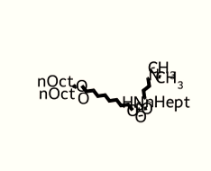 CCCCCCCCC(CCCCCCCC)OC(=O)CCCCCCCOP(=O)(NCCCCN(C)C)OCCCCCCC